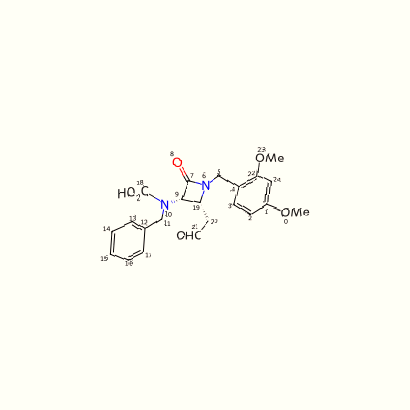 COc1ccc(CN2C(=O)[C@@H](N(Cc3ccccc3)C(=O)O)[C@H]2CC=O)c(OC)c1